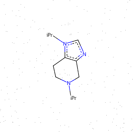 CC(C)N1CCc2c(ncn2C(C)C)C1